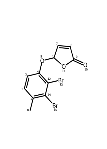 Cc1ccc(OC2C=CC(=O)O2)c(Br)c1Br